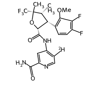 [2H]c1cnc(C(N)=O)cc1NC(=O)[C@@H]1O[C@](C)(C(F)(F)F)[C@H](C)[C@@H]1c1ccc(F)c(F)c1OC